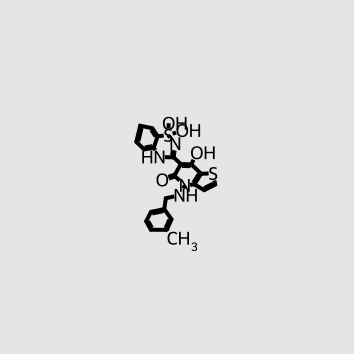 Cc1cccc(CNn2c(=O)c(C3=NS(O)(O)c4ccccc4N3)c(O)c3sccc32)c1